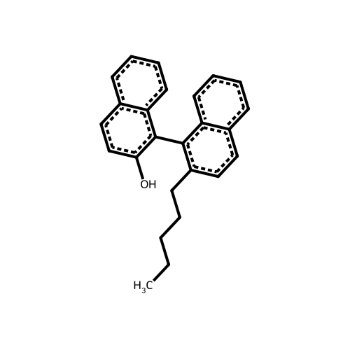 CCCCCc1ccc2ccccc2c1-c1c(O)ccc2ccccc12